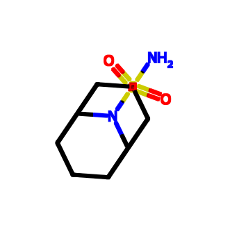 NS(=O)(=O)N1C2CCCC1CCC2